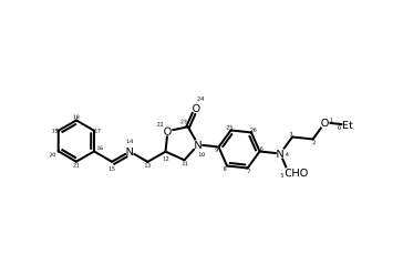 CCOCCN(C=O)c1ccc(N2CC(C/N=C/c3ccccc3)OC2=O)cc1